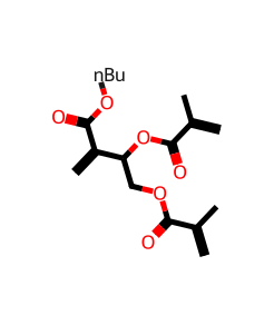 C=C(C)C(=O)OCC(OC(=O)C(=C)C)C(=C)C(=O)OCCCC